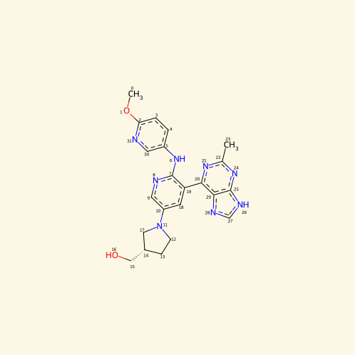 COc1ccc(Nc2ncc(N3CC[C@H](CO)C3)cc2-c2nc(C)nc3[nH]cnc23)cn1